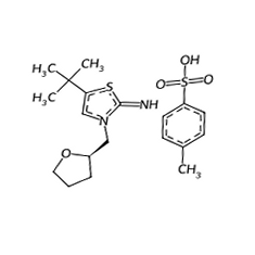 CC(C)(C)c1cn(C[C@H]2CCCO2)c(=N)s1.Cc1ccc(S(=O)(=O)O)cc1